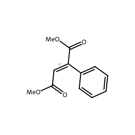 COC(=O)/C=C(/C(=O)OC)c1ccccc1